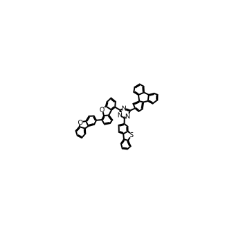 c1ccc2c(c1)oc1ccc(-c3cccc4c3oc3cccc(-c5nc(-c6ccc7c(c6)sc6ccccc67)nc(-c6ccc7c8ccccc8c8ccccc8c7c6)n5)c34)cc12